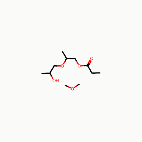 CCC(=O)OCC(C)OCC(C)O.COC